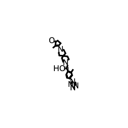 CC1=C(N2CCC3(CCN(C[C@H](O)c4ccc(-n5cnnn5)cc4C)CC3)CC2)CCC1=O